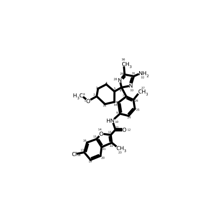 COC1CCC(C2(c3cc(NC(=O)c4oc5cc(Cl)ccc5c4C)ccc3C)N=C(C)C(N)=N2)CC1